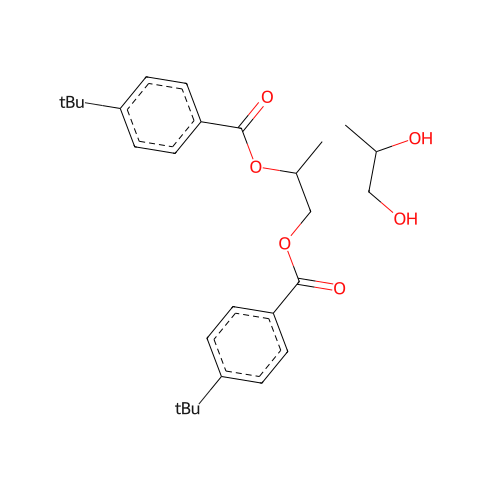 CC(COC(=O)c1ccc(C(C)(C)C)cc1)OC(=O)c1ccc(C(C)(C)C)cc1.CC(O)CO